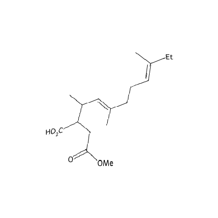 CCC(C)=CCCC(C)=CC(C)C(CC(=O)OC)C(=O)O